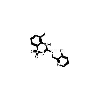 O=S1(=O)N=C(NCc2ncccc2Cl)Nc2c(I)cccc21